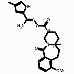 COc1cccc2c1CC[C@H]1CC[C@H](C(=O)ON=C(N)c3cc(C)c[nH]3)CN1C2=O